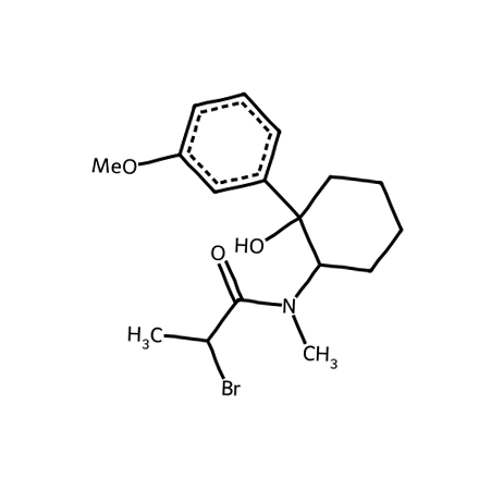 COc1cccc(C2(O)CCCCC2N(C)C(=O)C(C)Br)c1